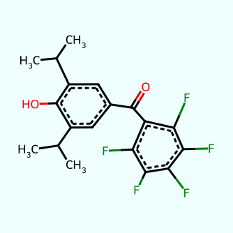 CC(C)c1cc(C(=O)c2c(F)c(F)c(F)c(F)c2F)cc(C(C)C)c1O